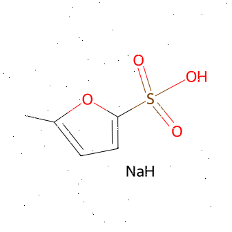 Cc1ccc(S(=O)(=O)O)o1.[NaH]